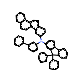 c1ccc(-c2cccc(N(c3ccc4c(c3)C(c3ccccc3)(c3ccccc3)c3ccccc3-4)c3ccc4ccc5c6ccccc6ccc5c4c3)c2)cc1